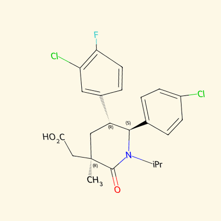 CC(C)N1C(=O)[C@@](C)(CC(=O)O)C[C@H](c2ccc(F)c(Cl)c2)[C@H]1c1ccc(Cl)cc1